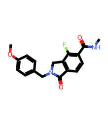 CNC(=O)c1ccc2c(c1F)CN(Cc1ccc(OC)cc1)C2=O